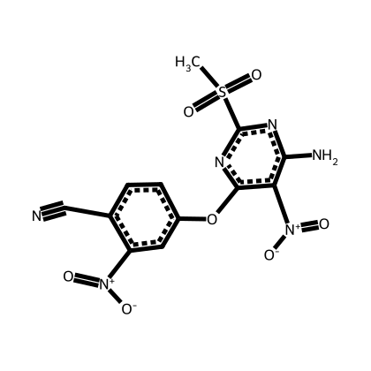 CS(=O)(=O)c1nc(N)c([N+](=O)[O-])c(Oc2ccc(C#N)c([N+](=O)[O-])c2)n1